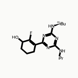 CC[C@H](C)Nc1nc(NC(C)C)nc(C2=C(F)C(O)CCC2)n1